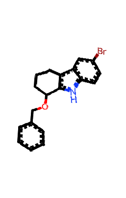 Brc1ccc2[nH]c3c(c2c1)CCCC3OCc1ccccc1